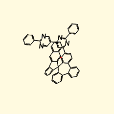 c1ccc(-c2ncc(-c3cc(-c4ccc5c(c4)C4(c6ccccc6-c6ccccc6-5)c5ccccc5-c5cc6ccccc6cc54)nc(-c4ccccc4)n3)cn2)cc1